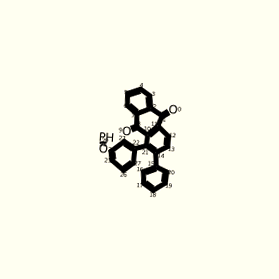 O=C1c2ccccc2C(=O)c2c1ccc(-c1ccccc1)c2-c1ccccc1.O=P